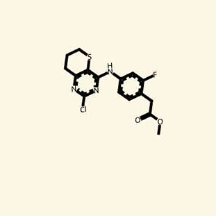 COC(=O)Cc1ccc(Nc2nc(Cl)nc3c2SCCC3)cc1F